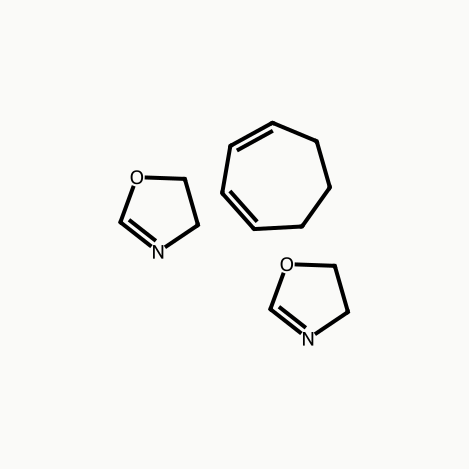 C1=CCCCC=C1.C1=NCCO1.C1=NCCO1